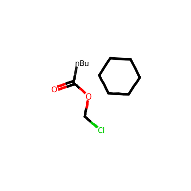 C1CCCCC1.CCCCC(=O)OCCl